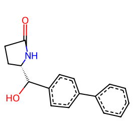 O=C1CC[C@@H](C(O)c2ccc(-c3ccccc3)cc2)N1